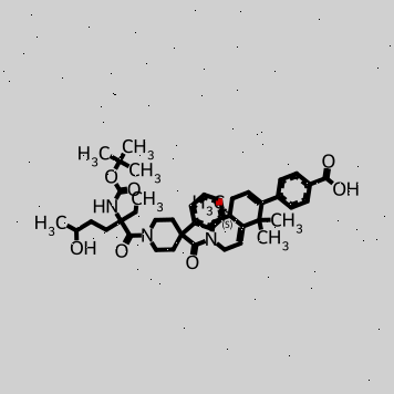 CCC(CCC(C)O)(NC(=O)OC(C)(C)C)C(=O)N1CCC(C(=O)N2CC=C3C(C)(C)C(c4ccc(C(=O)O)cc4)=CC[C@]3(C)C2)(c2ccccc2)CC1